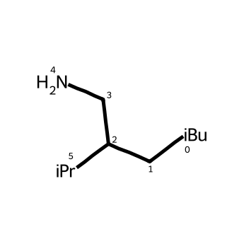 CCC(C)CC(CN)C(C)C